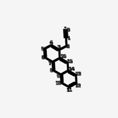 [C]#CCc1cccc2cc3ccccc3cc12